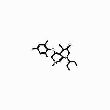 CCC(CC)N1CC(=O)C(C)C2=C(Oc3c(C)cc(C)cc3C)CN(C)C=C21